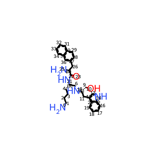 NCCCC[C@@H](CN[C@H](CO)Cc1c[nH]c2ccccc12)NC(=O)[C@@H](N)Cc1ccc2ccccc2c1